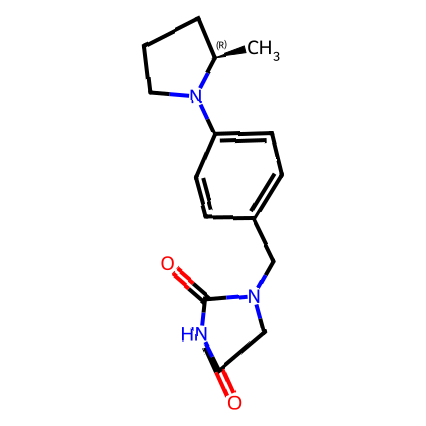 C[C@@H]1CCCN1c1ccc(CN2CC(=O)NC2=O)cc1